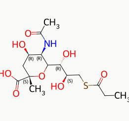 CCC(=O)SC[C@@H](O)[C@@H](O)C1O[C@](C)(C(=O)O)C[C@@H](O)[C@H]1NC(C)=O